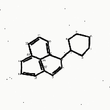 C1=CC(C2CCCCC2)c2cccc3cccc1c23